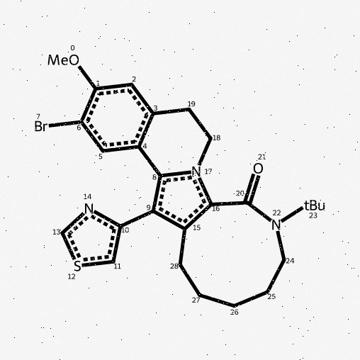 COc1cc2c(cc1Br)-c1c(-c3cscn3)c3c(n1CC2)C(=O)N(C(C)(C)C)CCCCC3